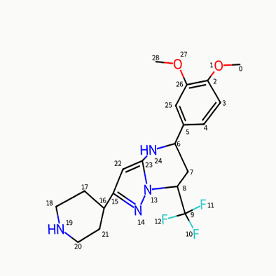 COc1ccc(C2CC(C(F)(F)F)n3nc(C4CCNCC4)cc3N2)cc1OC